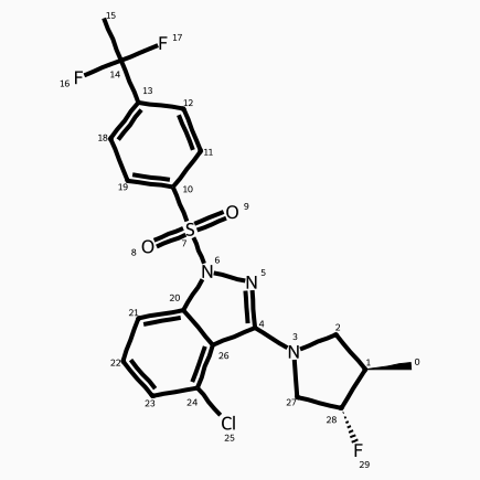 C[C@@H]1CN(c2nn(S(=O)(=O)c3ccc(C(C)(F)F)cc3)c3cccc(Cl)c23)C[C@H]1F